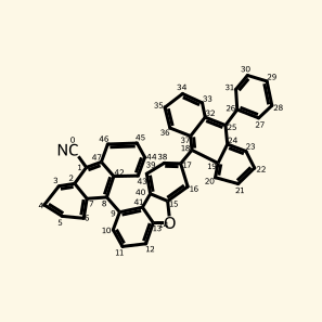 N#Cc1c2ccccc2c(-c2cccc3oc4cc(-c5c6ccccc6c(-c6ccccc6)c6ccccc56)ccc4c23)c2ccccc12